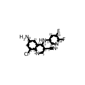 N#Cc1cnc2c(Cl)cc(N)cc2c1Nc1cnc(F)c(F)c1